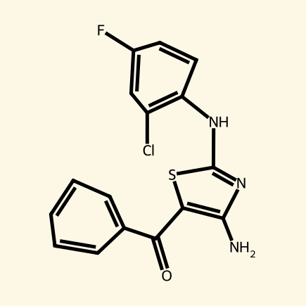 Nc1nc(Nc2ccc(F)cc2Cl)sc1C(=O)c1ccccc1